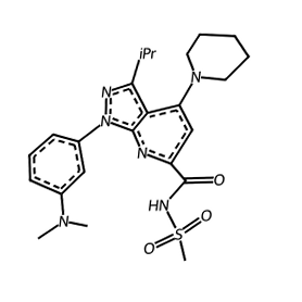 CC(C)c1nn(-c2cccc(N(C)C)c2)c2nc(C(=O)NS(C)(=O)=O)cc(N3CCCCC3)c12